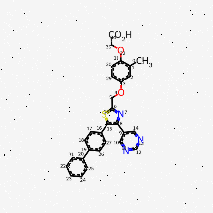 Cc1cc(OCc2nc(-c3cncnc3)c(-c3ccc(-c4ccccc4)cc3)s2)ccc1OCC(=O)O